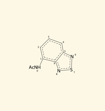 CC(=O)Nc1cccc2nsnc12